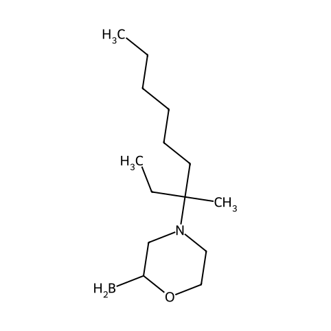 BC1CN(C(C)(CC)CCCCCC)CCO1